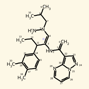 C=C(N/C(=C/N(N)CC(C)C)C(CC)c1ccc(C)c(C)c1)c1cnn2cccnc12